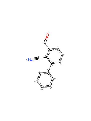 N#Cc1c([C]=O)cccc1-c1ccccc1